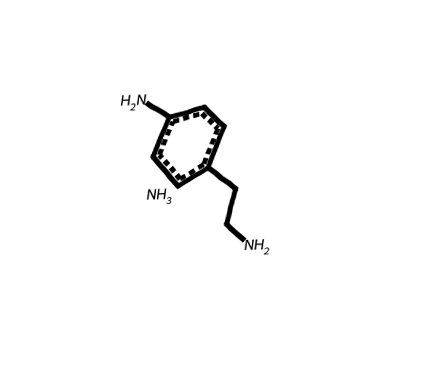 N.NCCc1ccc(N)cc1